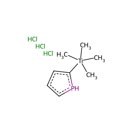 Cl.Cl.Cl.[CH3][Ti]([CH3])([CH3])([CH3])[c]1ccc[pH]1